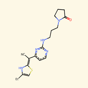 CCC1=CSC(=C(C#N)c2ccnc(NCCCN3CCCC3=O)n2)N1